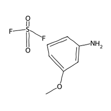 COc1cccc(N)c1.O=S(=O)(F)F